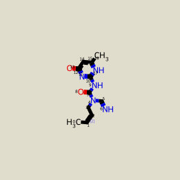 C/C=C\CN(C=N)C(=O)Nc1nc(=O)cc(C)[nH]1